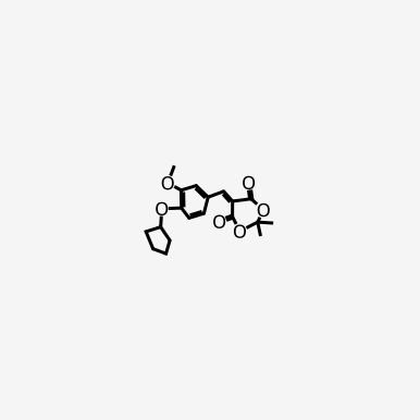 COc1cc(C=C2C(=O)OC(C)(C)OC2=O)ccc1OC1CCCC1